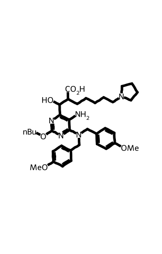 CCCCOc1nc(C(O)C(CCCCCN2CCCC2)C(=O)O)c(N)c(N(Cc2ccc(OC)cc2)Cc2ccc(OC)cc2)n1